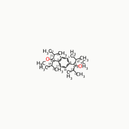 CO[Si](c1ccc([Si](OC)(C(C)C)C(C)C)cc1)(C(C)C)C(C)C